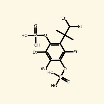 CCc1c(OP(=O)(O)O)c(C(C)(C)C(CC)CC)c(CC)c(OP(=O)(O)O)c1C(C)(C)C